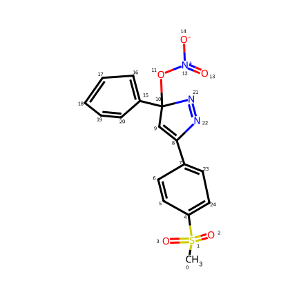 CS(=O)(=O)c1ccc(C2=CC(O[N+](=O)[O-])(c3ccccc3)N=N2)cc1